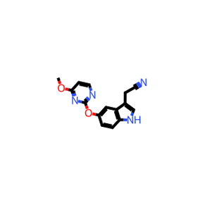 COc1ccnc(Oc2ccc3[nH]cc(CC#N)c3c2)n1